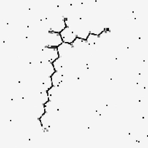 CCCCCCCCCCCC(=O)C(OCCCCC)C(O)CO